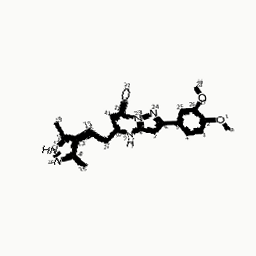 COc1ccc(-c2cc3[nH]c(CCc4c(C)n[nH]c4C)cc(=O)n3n2)cc1OC